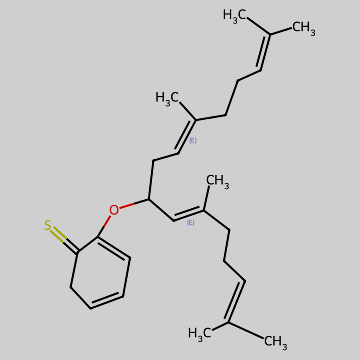 CC(C)=CCC/C(C)=C/CC(/C=C(\C)CCC=C(C)C)OC1=CC=CCC1=S